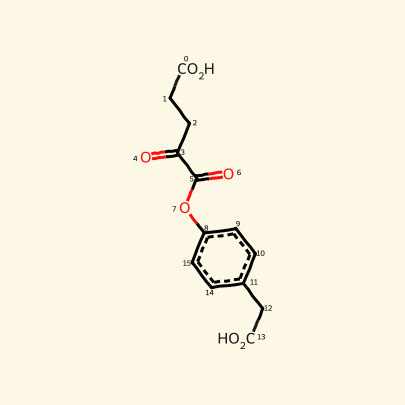 O=C(O)CCC(=O)C(=O)Oc1ccc(CC(=O)O)cc1